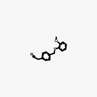 COc1ccccc1SCc1ccc(CC#N)cc1